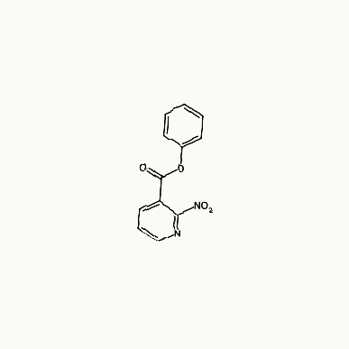 O=C(Oc1ccccc1)c1cccnc1[N+](=O)[O-]